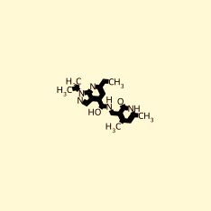 CCc1cc(C(O)NCc2c(C)cc(C)[nH]c2=O)c2cnn(C(C)C)c2n1